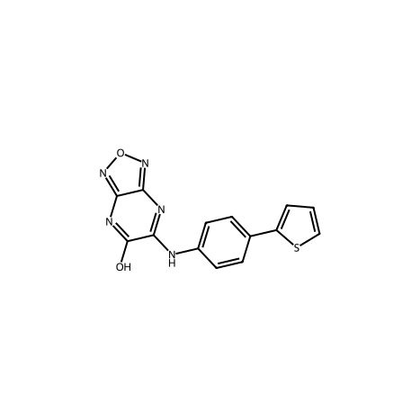 Oc1nc2nonc2nc1Nc1ccc(-c2cccs2)cc1